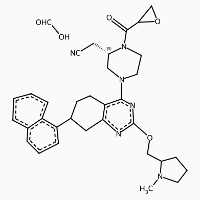 CN1CCCC1COc1nc2c(c(N3CCN(C(=O)C4CO4)[C@@H](CC#N)C3)n1)CCC(c1cccc3ccccc13)C2.O=CO